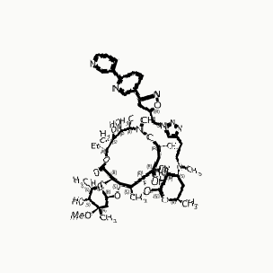 CC[C@H]1OC(=O)[C@H](C)[C@@H](O[C@H]2C[C@@](C)(OC)[C@@H](O)[C@H](C)O2)[C@H](C)[C@@H](O[C@@H]2O[C@H](C)C[C@H](N(C)CCc3cn(C[C@H]4CC(c5ccc(-c6cccnc6)nc5)=NO4)nn3)[C@H]2O)[C@](C)(O)C[C@@H](C)CN(C)[C@H](C)[C@@H](O)[C@]1(C)O